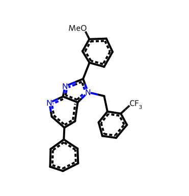 COc1cccc(-c2nc3ncc(-c4ccccc4)cc3n2Cc2ccccc2C(F)(F)F)c1